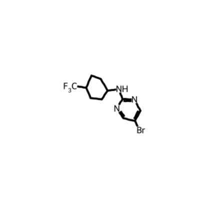 FC(F)(F)C1CCC(Nc2ncc(Br)cn2)CC1